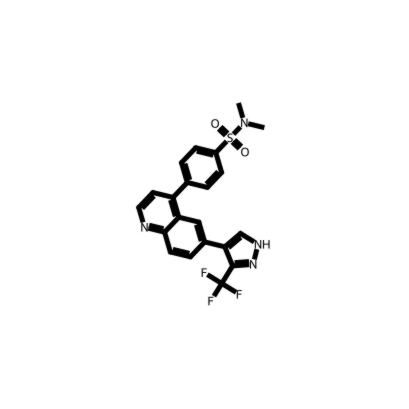 CN(C)S(=O)(=O)c1ccc(-c2ccnc3ccc(-c4c[nH]nc4C(F)(F)F)cc23)cc1